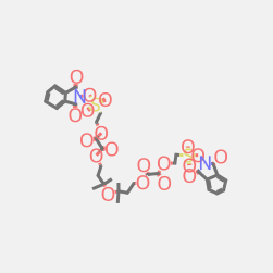 CC(C)(CCOC(=O)C(=O)OCCS(=O)(=O)ON1C(=O)c2ccccc2C1=O)OC(C)(C)CCOC(=O)C(=O)OCCS(=O)(=O)ON1C(=O)c2ccccc2C1=O